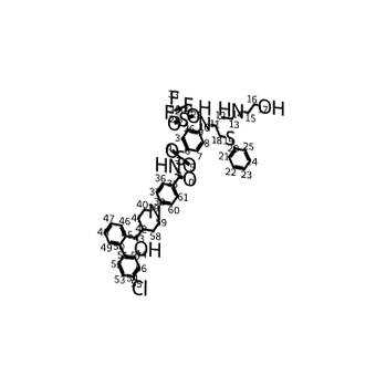 O=C(NS(=O)(=O)c1ccc(N[C@H](CCNCCO)CSc2ccccc2)c(S(=O)(=O)C(F)(F)F)c1)c1ccc(N2CCC([C@@H](O)c3ccccc3-c3ccc(Cl)cc3)CC2)cc1